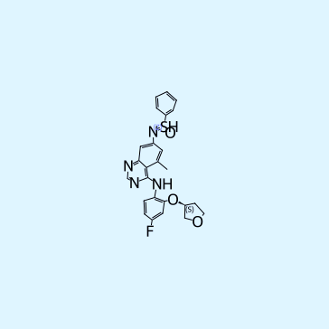 Cc1cc(/N=[SH](=O)/c2ccccc2)cc2ncnc(Nc3ccc(F)cc3O[C@H]3CCOC3)c12